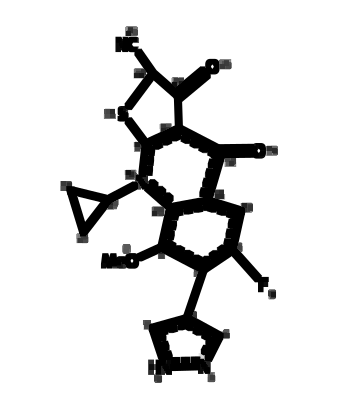 COc1c(-c2cn[nH]c2)c(F)cc2c(=O)c3c(n(C4CC4)c12)SC(C#N)C3=O